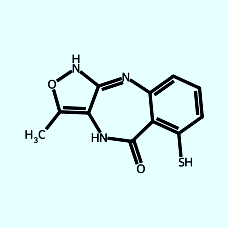 CC1=C2NC(=O)c3c(S)cccc3N=C2NO1